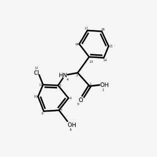 O=C(O)C(Nc1cc(O)ccc1Cl)c1ccccc1